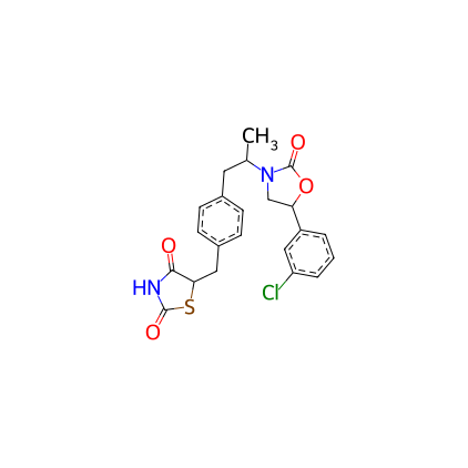 CC(Cc1ccc(CC2SC(=O)NC2=O)cc1)N1CC(c2cccc(Cl)c2)OC1=O